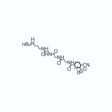 CCCCNCCCNC(=O)CNC(=O)CNC(=O)CCNC(=O)c1ccc(C#N)c(S(C)(=O)=O)n1